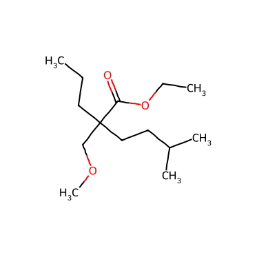 CCCC(CCC(C)C)(COC)C(=O)OCC